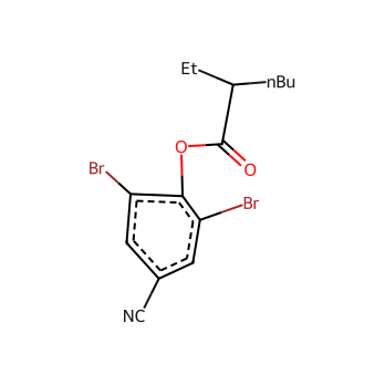 CCCCC(CC)C(=O)Oc1c(Br)cc(C#N)cc1Br